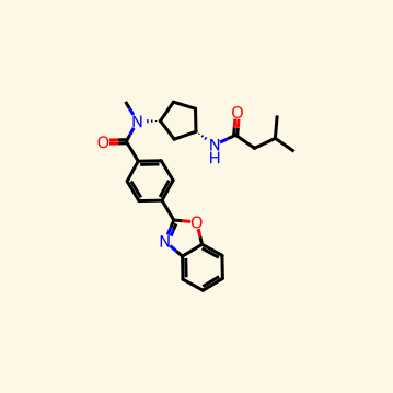 CC(C)CC(=O)N[C@H]1CC[C@@H](N(C)C(=O)c2ccc(-c3nc4ccccc4o3)cc2)C1